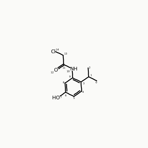 CC(C)c1ccc(O)cc1NC(=O)CCl